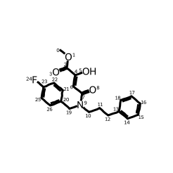 COC(=O)/C(O)=C/C(=O)N(CCCc1ccccc1)Cc1ccc(F)cc1